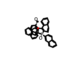 O=Pc1ccc2ccccc2c1-c1c(P(=O)(c2ccc3ccccc3c2)c2ccc3ccccc3c2)ccc2ccccc12